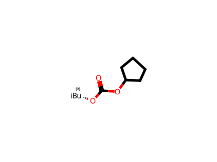 C[CH][C@@H](C)OC(=O)OC1CCCC1